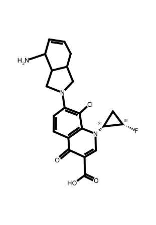 NC1C=CCC2CN(c3ccc4c(=O)c(C(=O)O)cn([C@@H]5C[C@@H]5F)c4c3Cl)CC12